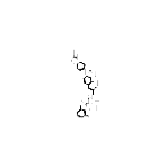 Cc1cccc(C)c1NC(=S)NN=Cc1cnc2c(ccc3c2ncn3-c2ccc(OC(F)(F)F)cc2)c1